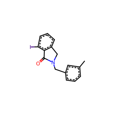 Cc1cccc(CN2Cc3cccc(I)c3C2=O)c1